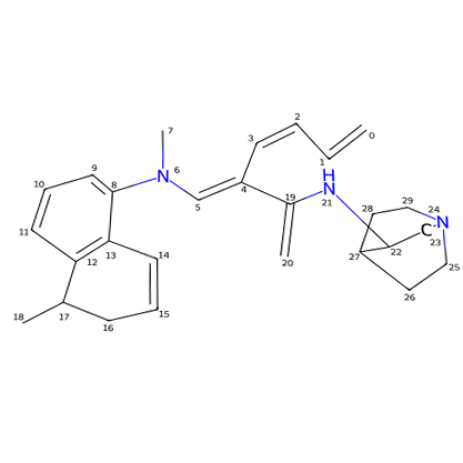 C=C/C=C\C(=C/N(C)c1cccc2c1C=CCC2C)C(=C)NC1CN2CCC1CC2